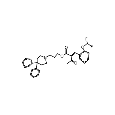 CC(=O)C(=Cc1ccccc1OC(F)F)C(=O)OCCCN1CCC(c2ccccc2)(c2ccccc2)CC1